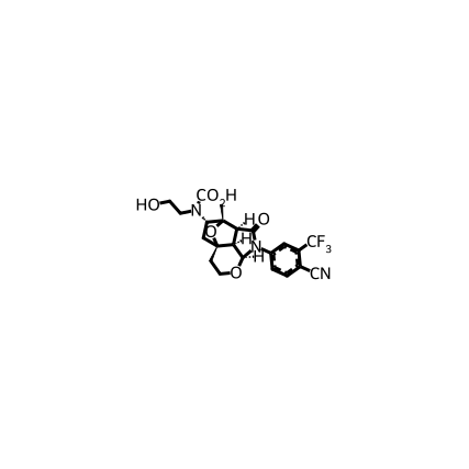 C[C@]12O[C@@]3(CCO[C@H]4[C@@H]3[C@@H]1C(=O)N4c1ccc(C#N)c(C(F)(F)F)c1)C[C@@H]2N(CCO)C(=O)O